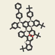 Cc1ccc(N(c2ccc(-c3ccccc3)cc2)c2cc3c4c(c2)N(c2ccccc2-c2cccc5c2oc2c(C(C)(C)C)cccc25)c2ccc(C(C)(C)C)cc2B4c2cc(C(C)(C)C)ccc2N3c2ccc(C(C)(C)C)cc2)c(C)c1